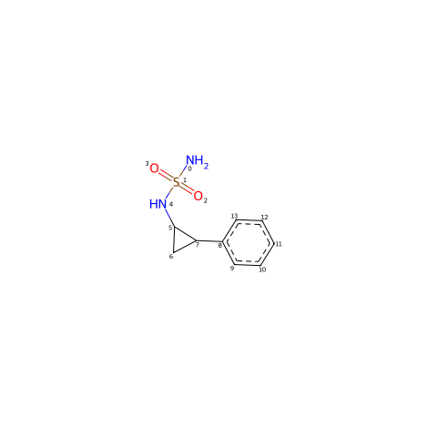 NS(=O)(=O)NC1CC1c1ccccc1